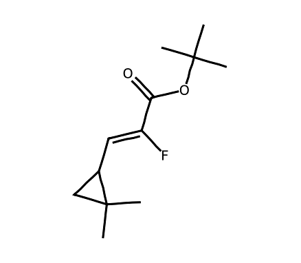 CC(C)(C)OC(=O)C(F)=CC1CC1(C)C